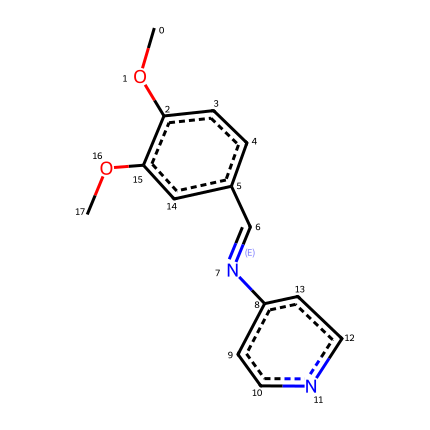 COc1ccc(/C=N/c2ccncc2)cc1OC